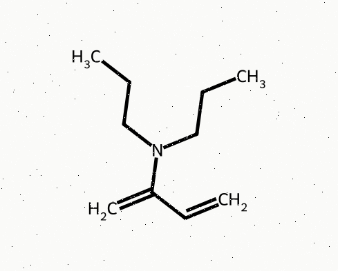 C=CC(=C)N(CCC)CCC